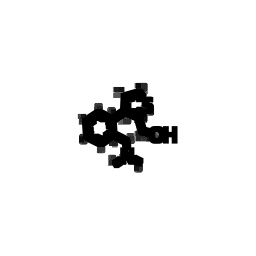 CN(C)Cc1ccccc1-c1ccsc1CO